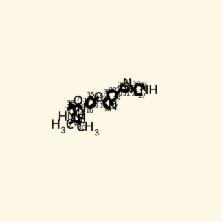 CC(NC(=O)C1(C(=O)Nc2ccc(Oc3ccnc4cc(-c5cnn(C6CCNCC6)c5)ccc34)cc2)CC1)[C@H](C)F